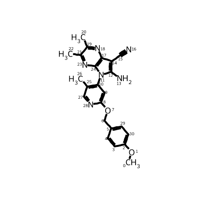 COc1ccc(COc2cc(-n3c(N)c(C#N)c4nc(C)c(C)nc43)c(C)cn2)cc1